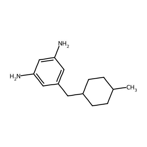 CC1CCC(Cc2cc(N)cc(N)c2)CC1